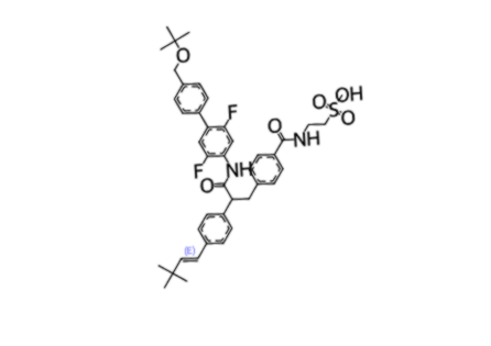 CC(C)(C)/C=C/c1ccc(C(Cc2ccc(C(=O)NCCS(=O)(=O)O)cc2)C(=O)Nc2cc(F)c(-c3ccc(COC(C)(C)C)cc3)cc2F)cc1